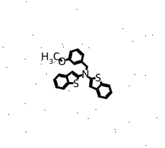 COc1cccc(CN(c2cc3ccccc3s2)c2cc3ccccc3s2)c1